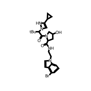 CC(C)(C)C(C(=O)N1CC(O)CC1C(=O)NCCn1ccc2c(Br)cccc21)n1cc(C2CC2)[nH]1